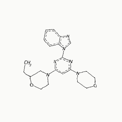 CCC1CN(c2cc(N3CCOCC3)nc(-n3cnc4ccccc43)n2)CCO1